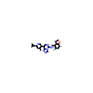 Cc1cc(C2CC2)ncc1-c1cnc(NCc2c(F)ccc3c2CCO3)n2cnnc12